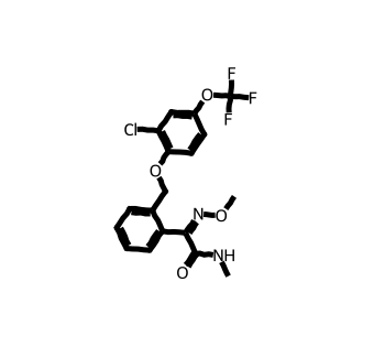 CNC(=O)C(=NOC)c1ccccc1COc1ccc(OC(F)(F)F)cc1Cl